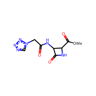 COC(=O)C1NC(=O)C1NC(=O)Cn1cnnn1